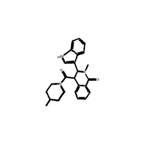 CC1CCN(C(=O)C2c3ccccc3C(=O)N(C)C2c2c[nH]c3ccccc23)CC1